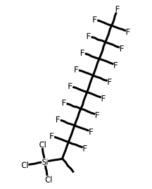 CC(C(F)(F)C(F)(F)C(F)(F)C(F)(F)C(F)(F)C(F)(F)C(F)(F)C(F)(F)F)[Si](Cl)(Cl)Cl